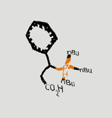 CCCC[PH](CCCC)(CCCC)C(CC(=O)O)c1ccccc1